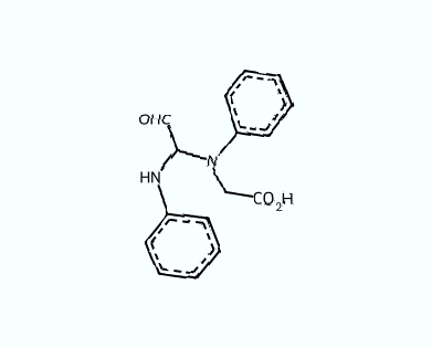 O=CC(Nc1ccccc1)N(CC(=O)O)c1ccccc1